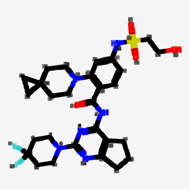 O=C(Nc1nc(N2CCC(F)(F)CC2)nc2c1CCC2)c1ccc(NS(=O)(=O)CCO)cc1N1CCC2(CC1)CC2